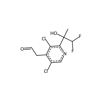 CC(O)(c1ncc(Cl)c(CC=O)c1Cl)C(F)F